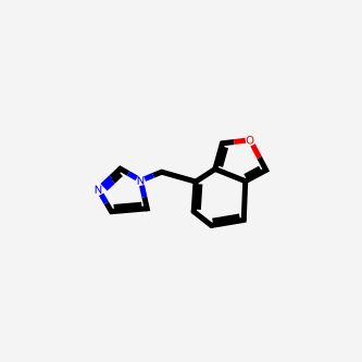 c1cc(Cn2ccnc2)c2cocc2c1